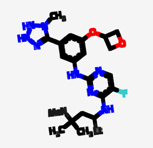 CCC(CC(C)(C)NC)Nc1nc(Nc2cc(OC3COC3)cc(C3=NNNN3C)c2)ncc1F